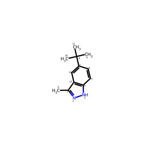 Cc1n[nH]c2ccc(C(C)(C)C)cc12